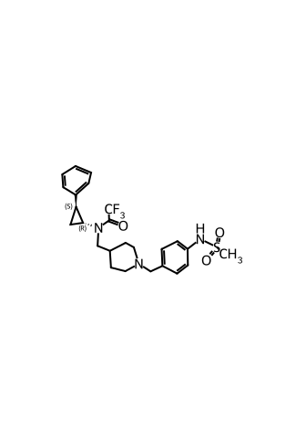 CS(=O)(=O)Nc1ccc(CN2CCC(CN(C(=O)C(F)(F)F)[C@@H]3C[C@H]3c3ccccc3)CC2)cc1